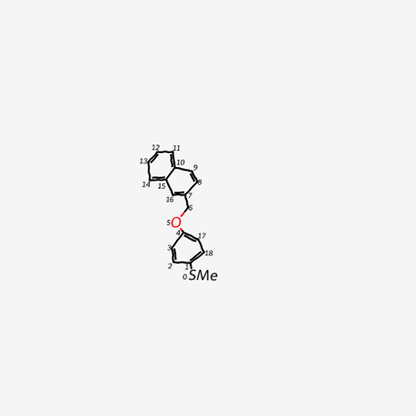 CSc1ccc(OCc2ccc3ccccc3c2)cc1